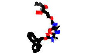 COC(=O)[C@H](O)CCOCNC(=O)[C@H](C)NC(=O)[C@H](C)NC(=O)OCC1c2ccccc2-c2ccccc21